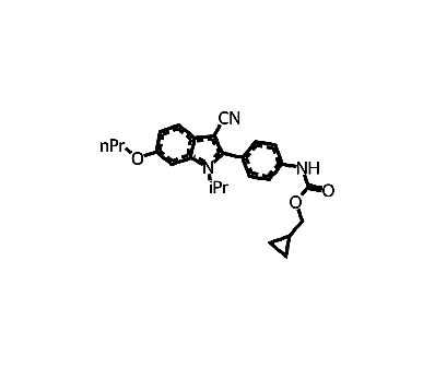 CCCOc1ccc2c(C#N)c(-c3ccc(NC(=O)OCC4CC4)cc3)n(C(C)C)c2c1